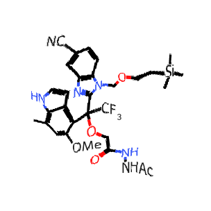 COc1cc(C)c2[nH]ccc2c1C(OCC(=O)NNC(C)=O)(c1nc2cc(C#N)ccc2n1COCC[Si](C)(C)C)C(F)(F)F